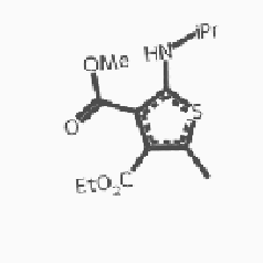 CCOC(=O)c1c(C)sc(NC(C)C)c1C(=O)OC